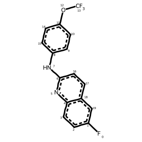 Fc1ccc2nc(Nc3ccc(OC(F)(F)F)cc3)ccc2c1